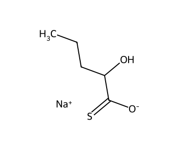 CCCC(O)C([O-])=S.[Na+]